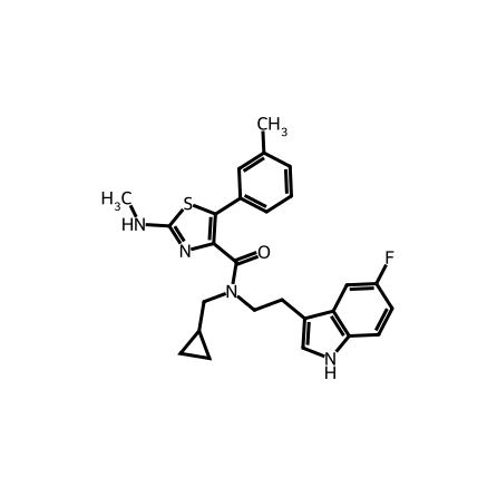 CNc1nc(C(=O)N(CCc2c[nH]c3ccc(F)cc23)CC2CC2)c(-c2cccc(C)c2)s1